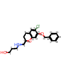 OCCCNCC1CCc2cc(Cl)c(OCc3ccccc3)cc2O1